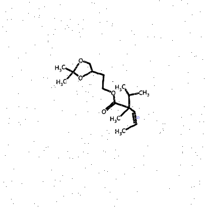 C/C=C\C(C)(C(=O)OCCC1COC(C)(C)O1)C(C)C